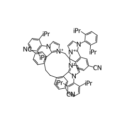 CC(C)c1cccc(C(C)C)c1-n1cc[n+]2c1-c1cc(C#N)ccc1CCc1ccc(C#N)cc1-c1n(-c3c(C(C)C)cccc3C(C)C)cc[n+]1C1(C2)c2ccc(C#N)cc2-c2n(-c3c(C(C)C)cccc3C(C)C)cc[n+]21